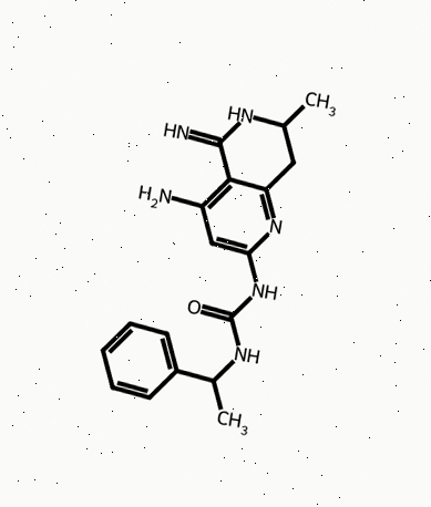 CC1Cc2nc(NC(=O)NC(C)c3ccccc3)cc(N)c2C(=N)N1